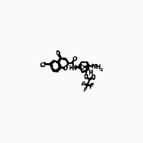 NC12CCC(NC(=O)[C@@H]3CC(=O)c4cc(Cl)ccc4O3)(CC1)C[C@@H]2OC(=O)C(F)(F)F